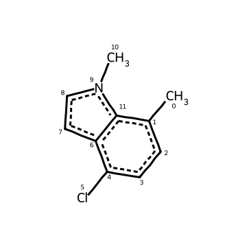 Cc1ccc(Cl)c2ccn(C)c12